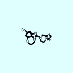 Brc1cc2c3c(c1)nc(N1CCn4ncnc4C1)n3CCCO2